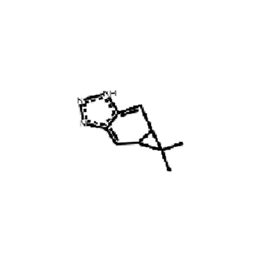 CC1(C)C2C=c3nn[nH]c3=CC21